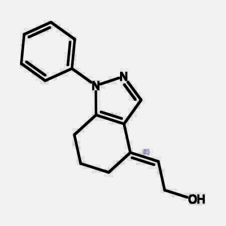 OC/C=C1\CCCc2c1cnn2-c1ccccc1